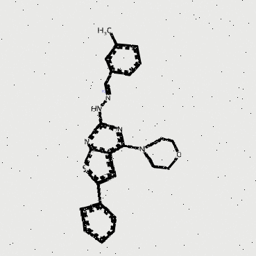 Cc1cccc(/C=N/Nc2nc(N3CCOCC3)c3cc(-c4ccccc4)sc3n2)c1